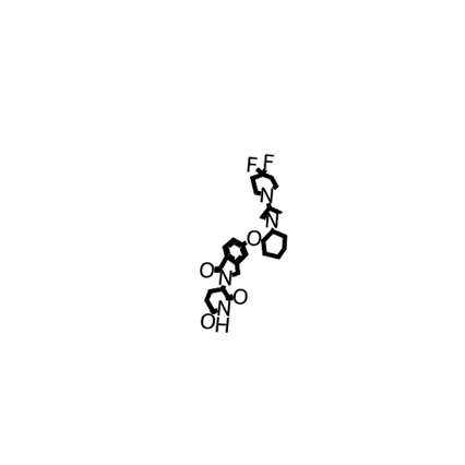 O=C1CCC(N2Cc3cc(O[C@@H]4CCCC[C@@H]4N4CC(N5CCC(F)(F)CC5)C4)ccc3C2=O)C(=O)N1